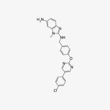 Cn1c(NCc2ccc(Oc3ncc(-c4ccc(Cl)cc4)cn3)cc2)nc2ccc(N)cc21